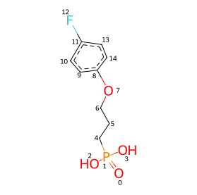 O=P(O)(O)CCCOc1ccc(F)cc1